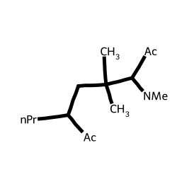 CCCC(CC(C)(C)C(NC)C(C)=O)C(C)=O